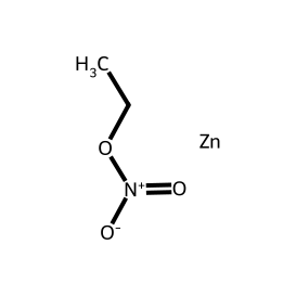 CCO[N+](=O)[O-].[Zn]